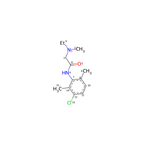 CCN(C)CC(=O)Nc1c(C)ccc(Cl)c1C